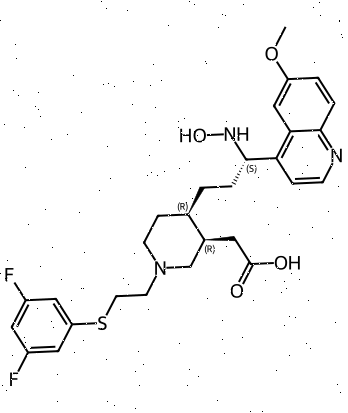 COc1ccc2nccc([C@H](CC[C@@H]3CCN(CCSc4cc(F)cc(F)c4)C[C@@H]3CC(=O)O)NO)c2c1